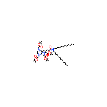 CCCCCCCCCCCCN(CCCCCCCCCCCC)C(=O)CCCCC1(N(CC(=O)OC(C)(C)C)CC(=O)OC(C)(C)C)CN(CC(=O)OC(C)(C)C)CCN(CC(=O)OC(C)(C)C)C1